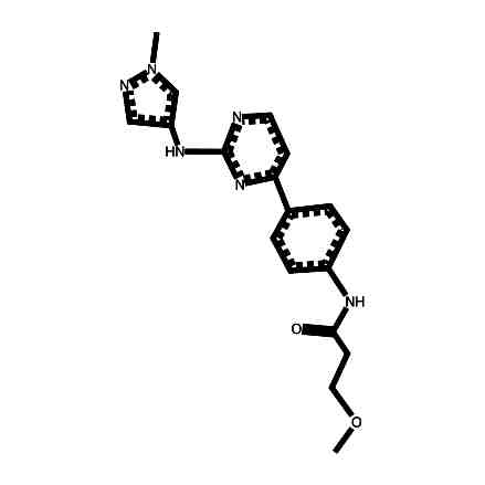 COCCC(=O)Nc1ccc(-c2ccnc(Nc3cnn(C)c3)n2)cc1